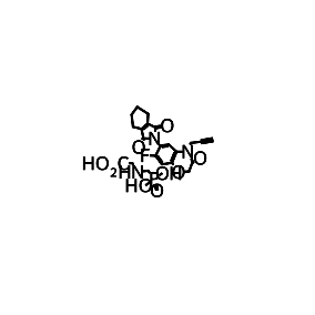 C#CCN1C(=O)COc2cc(F)c(N3C(=O)C4=C(CCCC4)C3=O)cc21.O=C(O)CNCP(=O)(O)O